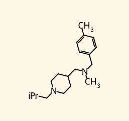 Cc1ccc(CN(C)CC2CCN(CC(C)C)CC2)cc1